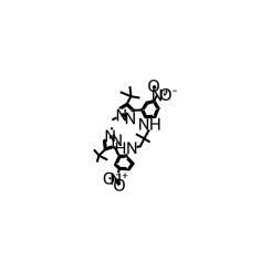 Cn1cc(C(C)(C)C)c(-c2cc([N+](=O)[O-])ccc2NCC(C)(C)CNc2ccc([N+](=O)[O-])cc2-c2nn(C)cc2C(C)(C)C)n1